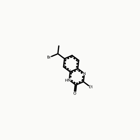 CCc1nc2ccc(C(C)Br)cc2[nH]c1=O